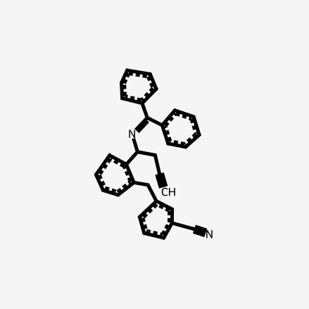 C#CCC(N=C(c1ccccc1)c1ccccc1)c1ccccc1Cc1cccc(C#N)c1